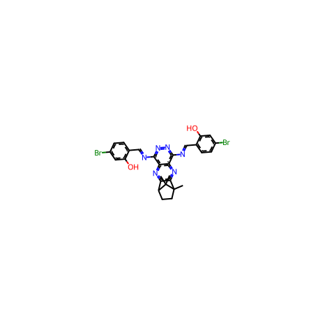 CC12CCC(c3nc4c(N=Cc5ccc(Br)cc5O)nnc(N=Cc5ccc(Br)cc5O)c4nc31)C2(C)C